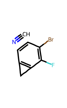 C#N.Fc1c(Br)ccc2c1C2